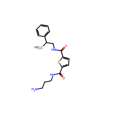 NCCCNC(=O)c1ccc(C(=O)NCC(C(=O)O)c2ccccc2)s1